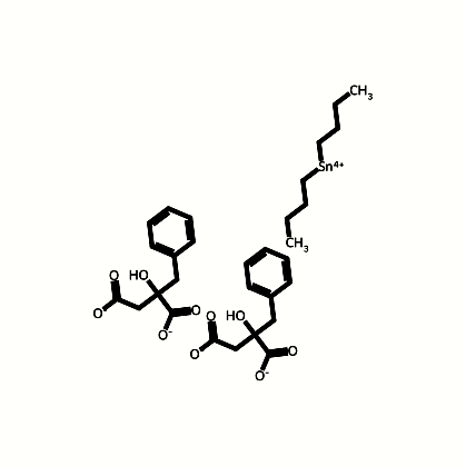 CCC[CH2][Sn+4][CH2]CCC.O=C([O-])CC(O)(Cc1ccccc1)C(=O)[O-].O=C([O-])CC(O)(Cc1ccccc1)C(=O)[O-]